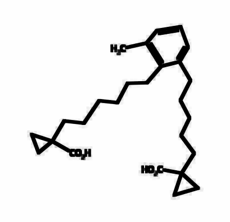 Cc1cccc(CCCCCC2(C(=O)O)CC2)c1CCCCCCC1(C(=O)O)CC1